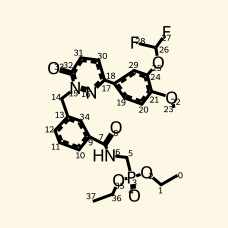 CCOP(=O)(CNC(=O)c1cccc(Cn2nc(-c3ccc(OC)c(OC(F)F)c3)ccc2=O)c1)OCC